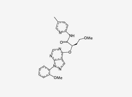 COCC[C@@H](Oc1ncnc2c1cnn2-c1ccccc1OC)C(=O)Nc1ccc(C)cn1